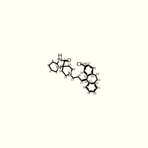 O=C1NC2CCCCN2C12CCN(CCC=C1c3ccccc3CCc3ccc(Cl)cc31)CC2